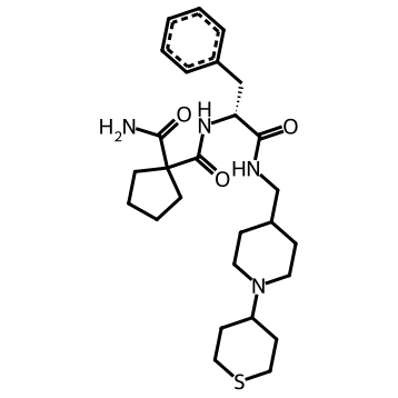 NC(=O)C1(C(=O)N[C@H](Cc2ccccc2)C(=O)NCC2CCN(C3CCSCC3)CC2)CCCC1